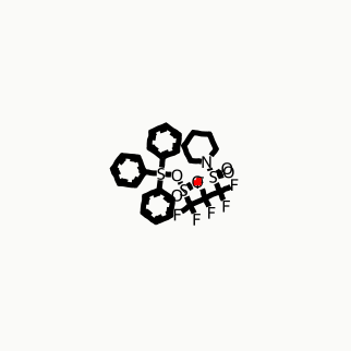 O=S(=O)(OS(c1ccccc1)(c1ccccc1)c1ccccc1)C(F)(F)C(F)(F)C(F)(F)S(=O)(=O)N1CCCCC1